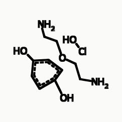 NCCOCCN.OCl.Oc1ccc(O)cc1